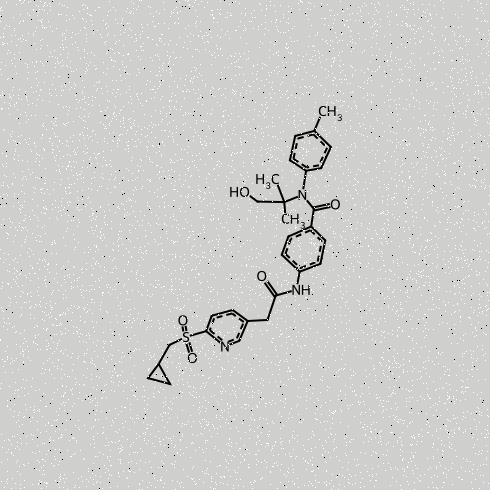 Cc1ccc(N(C(=O)c2ccc(NC(=O)Cc3ccc(S(=O)(=O)CC4CC4)nc3)cc2)C(C)(C)CO)cc1